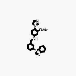 COc1cc(NCc2cccc(-n3cnc4ccccc43)c2)ccc1-n1ccnc1